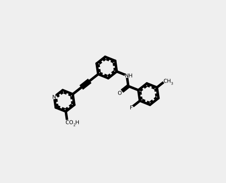 Cc1ccc(F)c(C(=O)Nc2cccc(C#Cc3cncc(C(=O)O)c3)c2)c1